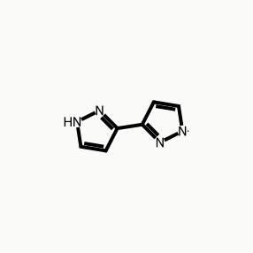 C1=CC(c2cc[nH]n2)=N[N]1